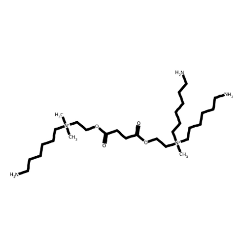 C[N+](C)(CCCCCCN)CCOC(=O)CCC(=O)OCC[N+](C)(CCCCCCN)CCCCCCN